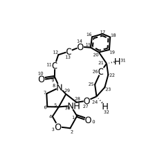 O=C1COCC2(CCN3C(=O)CCCOc4ccccc4[C@H]4CC[C@H](CC4)OCC32)N1